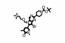 Cc1cc(-c2c(Br)c3nc(C4CCN(C(=O)OC(C)(C)C)CC4)ncc3n2COCC[Si](C)(C)C)cn(C)c1=O